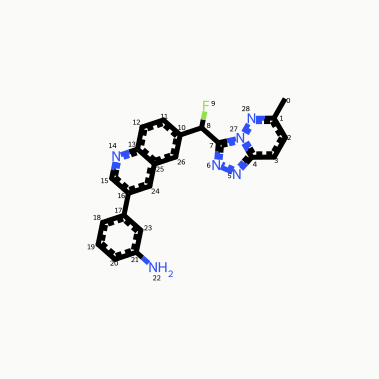 Cc1ccc2nnc(C(F)c3ccc4ncc(-c5cccc(N)c5)cc4c3)n2n1